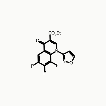 CCOC(=O)c1cn(-c2ccon2)c2c(F)c(F)c(F)cc2c1=O